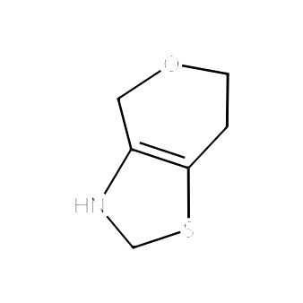 C1CC2=C(CO1)NCS2